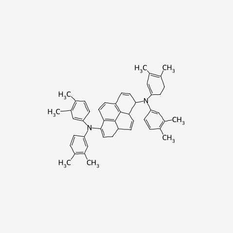 CC1=C(C)CCC(N(c2ccc(C)c(C)c2)C2C=Cc3ccc4c5c3C2C=CC5CC=C4N(c2ccc(C)c(C)c2)c2ccc(C)c(C)c2)=C1